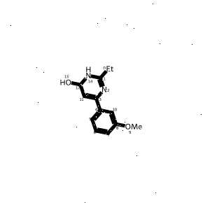 CCC1=NC(c2cccc(OC)c2)=CC(O)N1